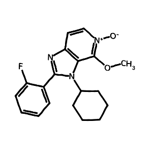 COc1c2c(cc[n+]1[O-])nc(-c1ccccc1F)n2C1CCCCC1